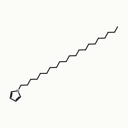 CCCCCCCCCCCCCCCCCCCCCn1cccc1